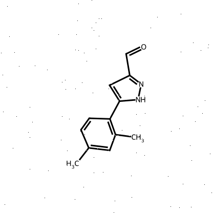 Cc1ccc(-c2cc(C=O)n[nH]2)c(C)c1